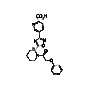 O=C(O)c1ccc(-c2noc([C@H]3CCCCN3C(=O)COc3ccccc3)n2)cn1